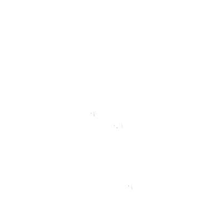 Clc1cncc(CNCC[C@@]2(c3ccccn3)CCOC3(CCCC3)C2)c1